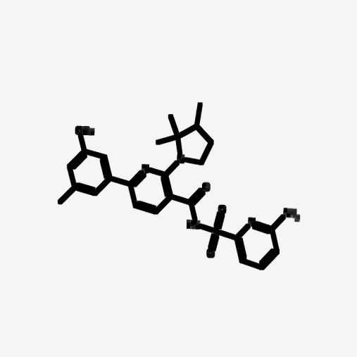 Cc1cc(OCC(C)C)cc(-c2ccc(C(=O)NS(=O)(=O)c3cccc(N)n3)c(N3CCC(C)C3(C)C)n2)c1